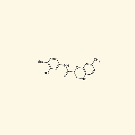 Cc1ccc2c(c1)OC(C(=O)Nc1ccc(C(C)(C)C)c(O)c1)CN2